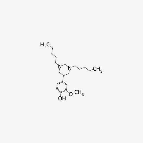 CCCCCN1CC(c2ccc(O)c(OC)c2)CN(CCCCC)C1